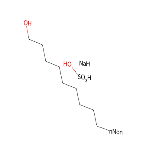 CCCCCCCCCCCCCCCCCCO.O=S(=O)(O)O.[NaH]